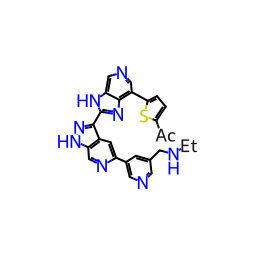 CCNCc1cncc(-c2cc3c(-c4nc5c(-c6ccc(C(C)=O)s6)cncc5[nH]4)n[nH]c3cn2)c1